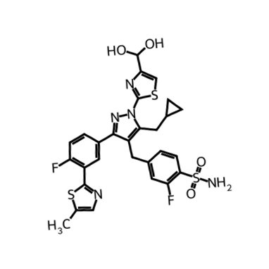 Cc1cnc(-c2cc(-c3nn(-c4nc(C(O)O)cs4)c(CC4CC4)c3Cc3ccc(S(N)(=O)=O)c(F)c3)ccc2F)s1